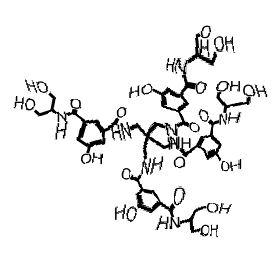 O=C(NCC(CNC(=O)c1cc(O)cc(C(=O)NC(CO)CO)c1)(CNC(=O)c1cc(O)cc(C(=O)NC(CO)CO)c1)CNC(=O)c1cc(O)cc(C(=O)NC(CO)CO)c1)c1cc(O)cc(C(=O)NC(CO)CO)c1